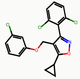 Clc1c[c]cc(OCc2c(-c3c(Cl)cccc3Cl)noc2C2CC2)c1